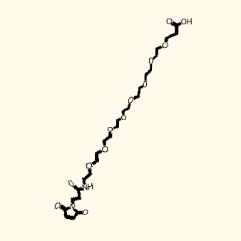 O=C(O)CCOCCOCCOCCOCCOCCOCCOCCOCCNC(=O)CCN1C(=O)C=CC1=O